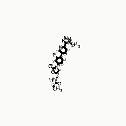 COC(=O)NC[C@H]1CN(c2ccc(-c3ccc(-c4nnnn4C)nc3)c(F)c2)C(=O)O1